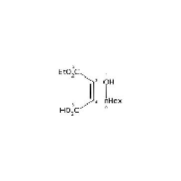 CCCCCCO.CCOC(=O)/C=C\C(=O)O